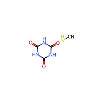 N#CS.O=c1[nH]c(=O)[nH]c(=O)[nH]1